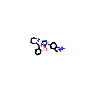 CN1CCCC[C@@H]1[C@H](c1ccccc1)n1ccn(-c2ccc3[nH]ncc3c2)c1=O